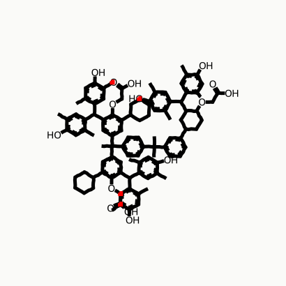 Cc1cc(C(c2cc(C)c(O)cc2C)c2cc(C(C)(c3ccc(C(C)(C)c4cccc(C5CCC(OCC(=O)O)C(C(c6cc(C)c(O)cc6C)c6cc(C)c(O)cc6C)C5)c4)cc3)c3cc(C4CCCCC4)c(OCC(=O)O)c(C(c4cc(C)c(O)cc4C)c4cc(C)c(O)cc4C)c3)cc(C3CCCCC3)c2OCC(=O)O)c(C)cc1O